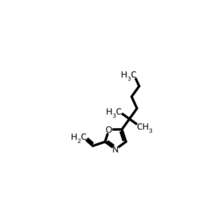 C=Cc1ncc(C(C)(C)CCCC)o1